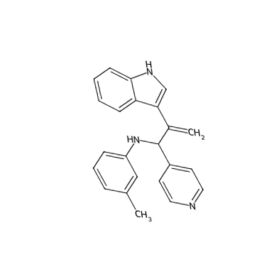 C=C(c1c[nH]c2ccccc12)C(Nc1cccc(C)c1)c1ccncc1